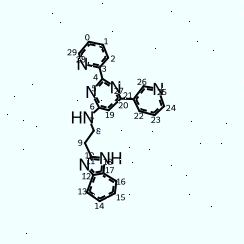 c1ccc(-c2nc(NCCc3nc4ccccc4[nH]3)cc(-c3cccnc3)n2)nc1